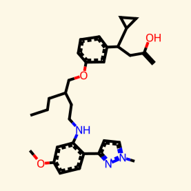 C=C(O)CC(c1cccc(OCC(CCC)CCNc2cc(OC)ccc2-c2ccn(C)n2)c1)C1CC1